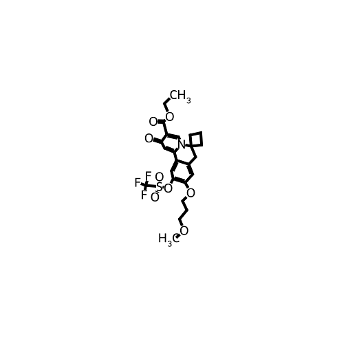 CCOC(=O)c1cn2c(cc1=O)-c1cc(OS(=O)(=O)C(F)(F)F)c(OCCCOC)cc1CC21CCC1